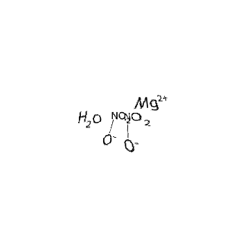 O.O=[N+]([O-])[O-].O=[N+]([O-])[O-].[Mg+2]